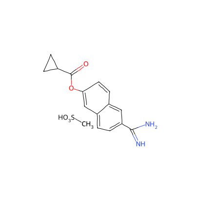 CS(=O)(=O)O.N=C(N)c1ccc2cc(OC(=O)C3CC3)ccc2c1